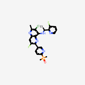 CCC(Nc1c(Cl)c(C)nc2cc(F)c(-c3ccc(P(C)(C)=O)nc3)nc12)c1ncccc1F